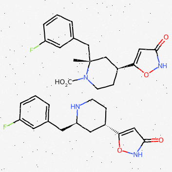 C[C@@]1(Cc2cccc(F)c2)C[C@@H](c2cc(=O)[nH]o2)CCN1C(=O)O.O=c1cc([C@H]2CCN[C@H](Cc3cccc(F)c3)C2)o[nH]1